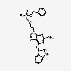 Nc1nc(ON2NNc3ccccc32)c2ncn(CCOCP(=O)(O)OCc3ccccc3)c2n1